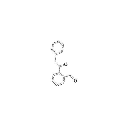 O=Cc1ccccc1C(=O)Cc1ccccc1